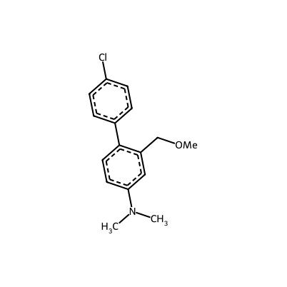 COCc1cc(N(C)C)ccc1-c1ccc(Cl)cc1